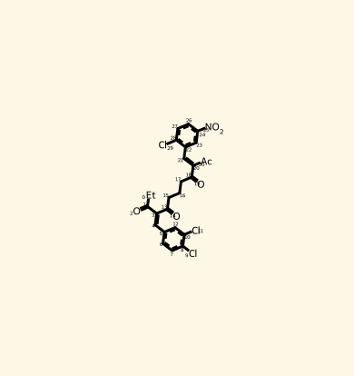 CCC(=O)C(=Cc1ccc(Cl)c(Cl)c1)C(=O)CCCC(=O)C(=Cc1cc([N+](=O)[O-])ccc1Cl)C(C)=O